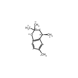 Cc1ccc2c(c1)[C@H](C)CC(C)(C)O2